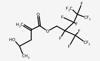 C=C(CC(C)O)C(=O)OCC(F)(C(F)(F)C(F)(F)F)C(F)(F)C(F)(C(F)(F)F)C(F)(F)F